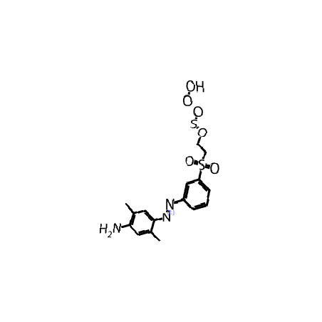 Cc1cc(/N=N/c2cccc(S(=O)(=O)CCOSOOO)c2)c(C)cc1N